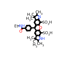 CCNC(=O)c1ccc(C2=c3cc4c(c(S(=O)(=O)O)c3Oc3c2cc2c(c3S(=O)(=O)O)NC(C)C2(C)C)=NC(C)C4(C)C)cc1